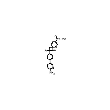 COC(=O)C1=CN2C=C3C(c4ccc(-c5cnc(N)nc5)cc4)(C(C)C)CC32C=C1